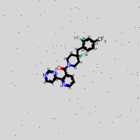 O=C(c1cccnc1-c1ccncn1)N1CCC(F)(Cc2ccc(C(F)(F)F)cc2F)CC1